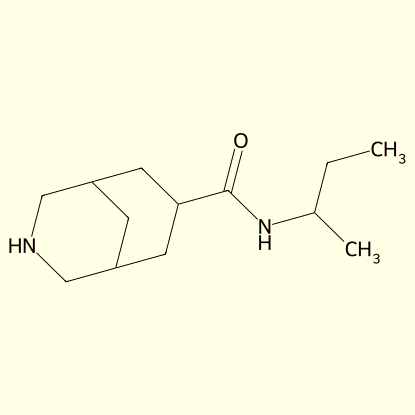 CCC(C)NC(=O)C1CC2CNCC(C2)C1